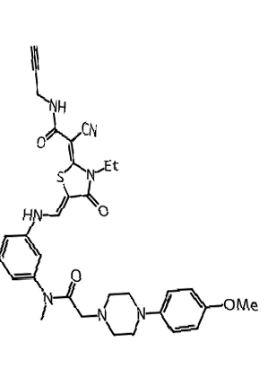 C#CCNC(=O)C(C#N)=c1sc(=CNc2cccc(N(C)C(=O)CN3CCN(c4ccc(OC)cc4)CC3)c2)c(=O)n1CC